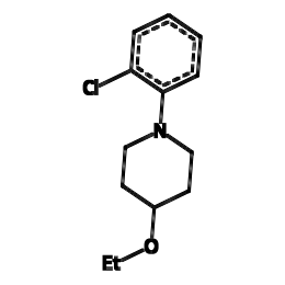 CCOC1CCN(c2ccccc2Cl)CC1